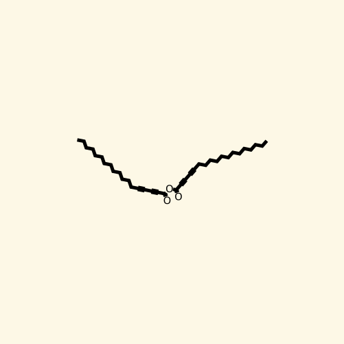 CCCCCCCCCCCCCC#CC#CC(=O)OC(=O)C#CC#CCCCCCCCCCCCCC